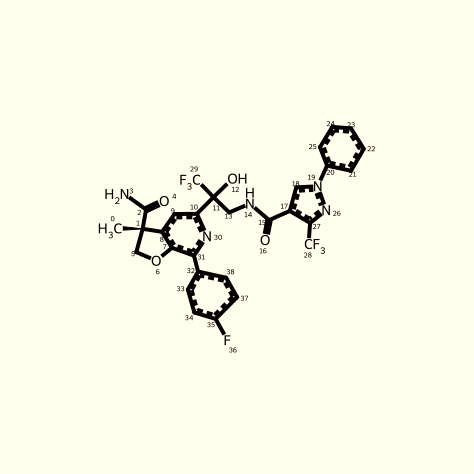 C[C@]1(C(N)=O)COc2c1cc(C(O)(CNC(=O)c1cn(-c3ccccc3)nc1C(F)(F)F)C(F)(F)F)nc2-c1ccc(F)cc1